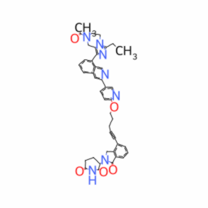 CCc1nc(-c2cccc3cc(-c4ccc(OCCCC#Cc5cccc6c5CN(C5CCC(=O)NC5=O)C6=O)nc4)ncc23)c2n1CCN(C(C)=O)C2